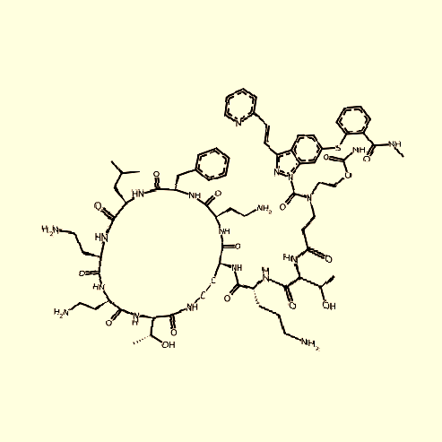 CNC(=O)c1ccccc1Sc1ccc2c(/C=C/c3ccccn3)nn(C(=O)N(CCOC(N)=O)CCC(=O)N[C@H](C(=O)N[C@H](CCCN)C(=O)N[C@H]3CCNC(=O)[C@@H]([C@@H](C)O)NC(=O)[C@@H](CCN)NC(=O)[C@@H](CCN)NC(=O)[C@@H](CC(C)C)NC(=O)[C@@H](Cc4ccccc4)NC(=O)[C@@H](CCN)NC3=O)[C@@H](C)O)c2c1